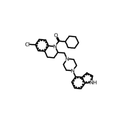 O=C(C1CCCCC1)N1c2ccc(Cl)cc2CCC1CN1CCN(c2cccc3[nH]ccc23)CC1